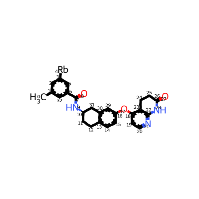 Cc1c[c]([Rb])cc(C(=O)N[C@@H]2CCc3ccc(Oc4ccnc5c4CCC(=O)N5)cc3C2)c1